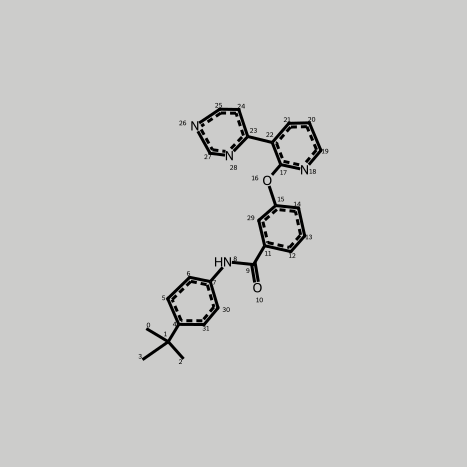 CC(C)(C)c1ccc(NC(=O)c2cccc(Oc3ncccc3-c3ccncn3)c2)cc1